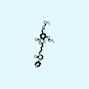 CCON=Cc1cc(OC)c(OCCCCCN2CCN(c3ccncc3)C2=O)c([N+](=O)[O-])c1